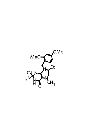 CCC1CN(C)C2=C(N[C@@](N)(Cl)NC2=O)N1Cc1ccc(OC)cc1OC